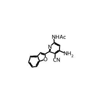 CC(=O)Nc1cc(N)c(C#N)c(-c2cc3ccccc3o2)n1